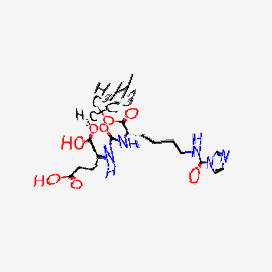 CC(C)(C)OC(=O)[C@H](CCCCNC(=O)n1ccnc1)NC(=O)N[C@@H](CCC(=O)O)C(=O)O